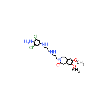 COc1cc2c(cc1OC)CC(=O)N(CCCNCCCNc1cc(Cl)c(N)c(Cl)c1)CC2